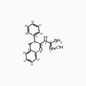 Cl.N=C(N)NC(=O)[C@@H](Cc1ccccc1)c1ccccc1